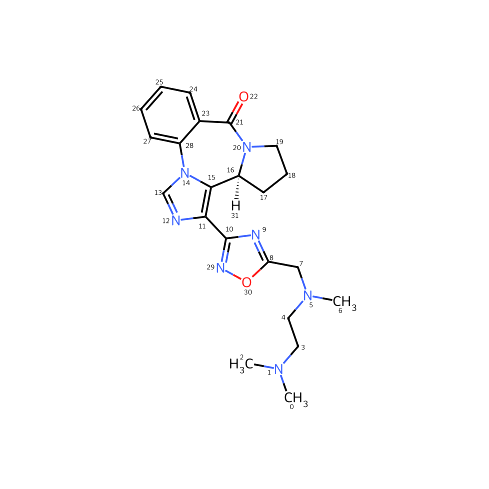 CN(C)CCN(C)Cc1nc(-c2ncn3c2[C@@H]2CCCN2C(=O)c2ccccc2-3)no1